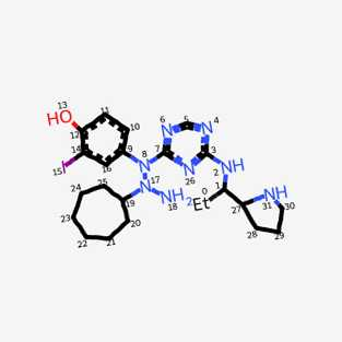 CCC(Nc1ncnc(N(c2ccc(O)c(I)c2)N(N)C2CCCCCC2)n1)C1CCCN1